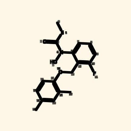 CSC(=O)N(O)c1cccc(F)c1COc1ccc(C)cc1C